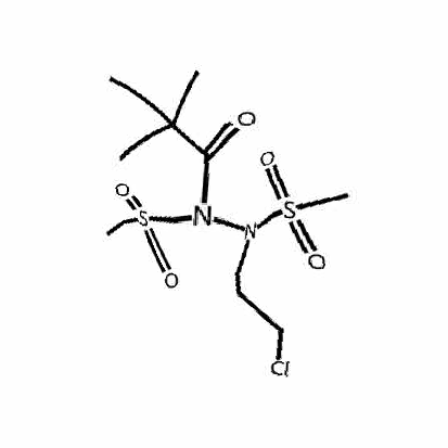 CC(C)(C)C(=O)N(N(CCCl)S(C)(=O)=O)S(C)(=O)=O